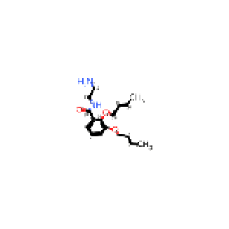 CCCCOc1cccc(C(=O)NCCN)c1OCCCC